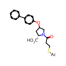 CC(=O)SCCC(=O)N1CC(Oc2ccc(-c3ccccc3)cc2)C[C@H]1C(=O)O